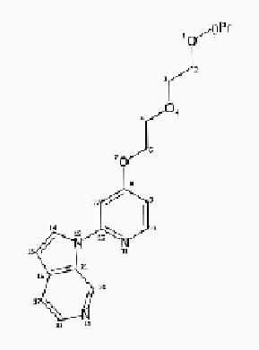 CCCOCCOCCOc1ccnc(-n2ccc3ccncc32)c1